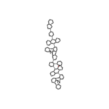 c1ccc(-c2c(-c3ccc4c5ccc(-c6c7ccccc7c(-c7ccc(-c8ccc9ccccc9c8)cc7)c7ccccc67)c6c7ccccc7n(c4c3)c56)cccc2-c2c3ccccc3c(-c3cccc4c3c3cccc5c6ccccc6n4c53)c3ccccc23)cc1